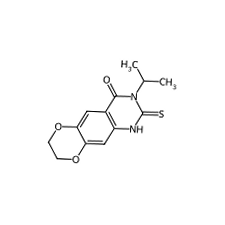 CC(C)n1c(=S)[nH]c2cc3c(cc2c1=O)OCCO3